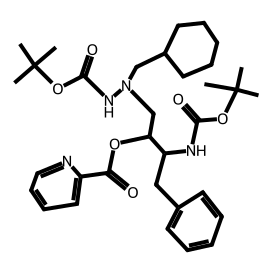 CC(C)(C)OC(=O)NC(Cc1ccccc1)C(CN(CC1CCCCC1)NC(=O)OC(C)(C)C)OC(=O)c1ccccn1